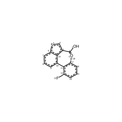 O=C(O)c1csc2cccc(-c3c(F)cccc3F)c12